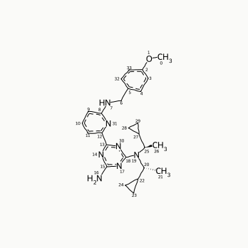 COc1ccc(CNc2cccc(-c3nc(N)nc(N([C@H](C)C4CC4)[C@H](C)C4CC4)n3)n2)cc1